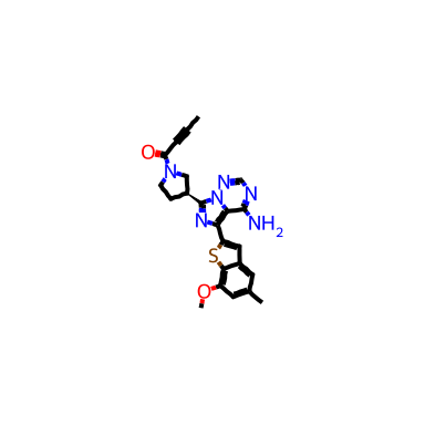 CC#CC(=O)N1CC[C@H](c2nc(-c3cc4cc(C)cc(OC)c4s3)c3c(N)ncnn23)C1